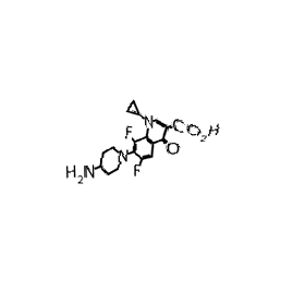 NC1CCN(c2c(F)cc3c(=O)c(C(=O)O)cn(C4CC4)c3c2F)CC1